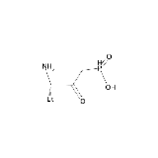 CC[C@H](N)C(=O)C[PH](=O)O